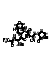 CC(C)(C)[C@H](NC(=O)C(F)(F)F)C(=O)N1C[C@@H]2COC[C@@H]2[C@H]1C(=O)N[C@H](C#N)C[C@@H]1CCNC1=O